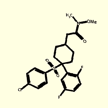 CON(C)C(=O)CC1CCC(c2cc(F)ccc2F)(S(=O)(=O)c2ccc(Cl)cc2)CC1